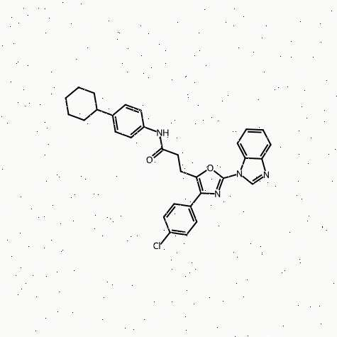 O=C(CCc1oc(-n2cnc3ccccc32)nc1-c1ccc(Cl)cc1)Nc1ccc(C2CCCCC2)cc1